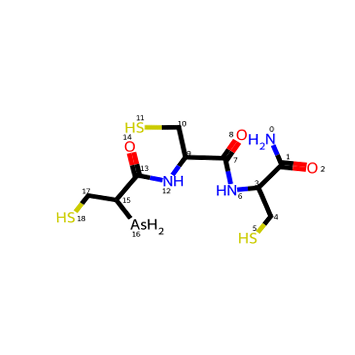 NC(=O)C(CS)NC(=O)C(CS)NC(=O)C([AsH2])CS